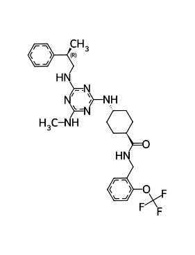 CNc1nc(NC[C@H](C)c2ccccc2)nc(N[C@H]2CC[C@H](C(=O)NCc3ccccc3OC(F)(F)F)CC2)n1